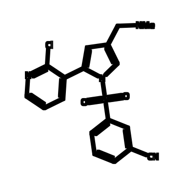 CNCc1cc(-c2cccnc2Cl)n(S(=O)(=O)c2cccc(C#N)c2)c1